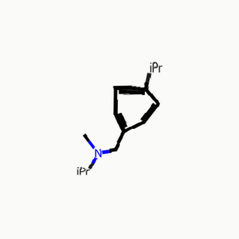 CC(C)c1ccc(CN(C)C(C)C)cc1